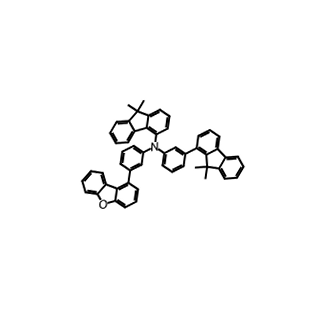 CC1(C)c2ccccc2-c2c(N(c3cccc(-c4cccc5c4C(C)(C)c4ccccc4-5)c3)c3cccc(-c4cccc5oc6ccccc6c45)c3)cccc21